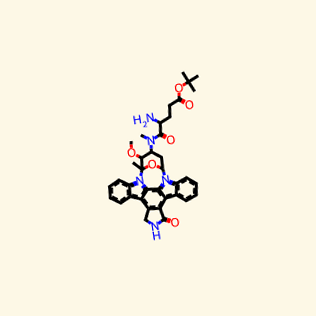 COC1C(N(C)C(=O)C(N)CCC(=O)OC(C)(C)C)CC2OC1(C)n1c3ccccc3c3c4c(c5c6ccccc6n2c5c31)C(=O)NC4